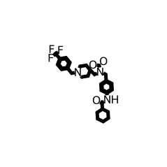 O=C(Nc1ccc(CN2CC3(CCN(Cc4ccc(C(F)(F)F)cc4)CC3)OC2=O)cc1)C1CCCCC1